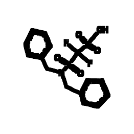 O=S(=O)(O)C(F)(F)S(=O)(=O)N(Cc1ccccc1)Cc1ccccc1